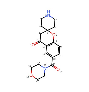 O=C1CC2(CCNCC2)Oc2ccc(C(=O)N3CCOCC3)cc21